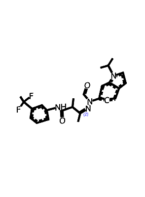 C/C(=N/N(C=O)c1ccc2ccn(C(C)C)c2c1)C(C)C(=O)Nc1cccc(C(C)(F)F)c1